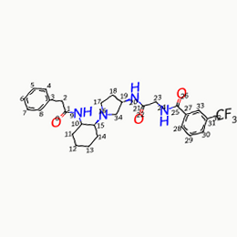 O=C(Cc1ccccc1)NC1CCCC[C@@H]1N1CC[C@@H](NC(=O)CNC(=O)c2cccc(C(F)(F)F)c2)C1